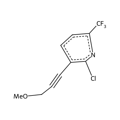 COCC#Cc1ccc(C(F)(F)F)nc1Cl